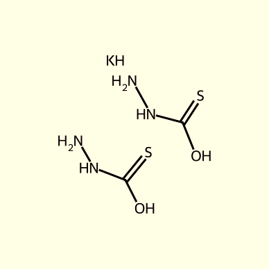 NNC(O)=S.NNC(O)=S.[KH]